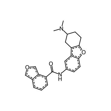 CN(C)C1CCc2oc3ccc(NC(=O)c4cccc5cocc45)cc3c2C1